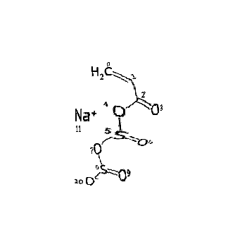 C=CC(=O)OS(=O)OS(=O)[O-].[Na+]